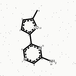 Cc1ccc(-c2cncc(N)n2)o1